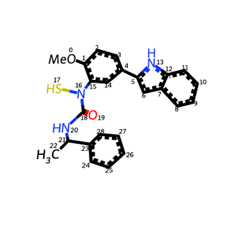 COc1ccc(-c2cc3ccccc3[nH]2)cc1N(S)C(=O)NC(C)c1ccccc1